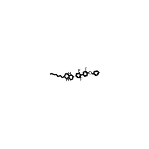 CCCCCCCC1CC[C@@H]2C[C@H](c3cc(F)c(-c4ccc(OCc5ccccc5)c(F)c4)c(F)c3)CC[C@@H]2C1